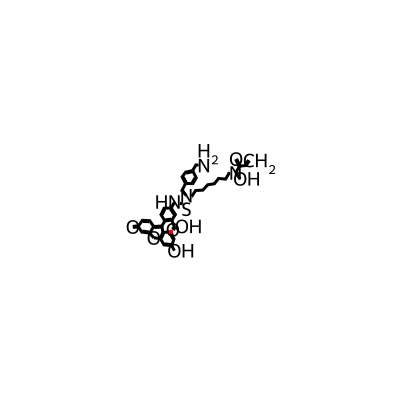 C=CC(=O)N(O)CCCCCCCCN(Cc1ccc(CN)cc1)C(=S)Nc1ccc(-c2c3ccc(=O)cc-3oc3cc(O)ccc23)c(C(=O)O)c1